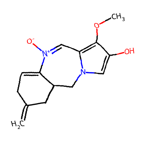 C=C1CC=C2C(C1)Cn1cc(O)c(OC)c1C=[N+]2[O-]